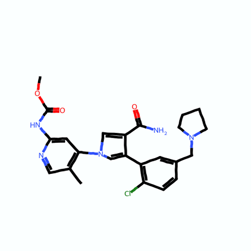 COC(=O)Nc1cc(-n2cc(C(N)=O)c(-c3cc(CN4CCCC4)ccc3Cl)c2)c(C)cn1